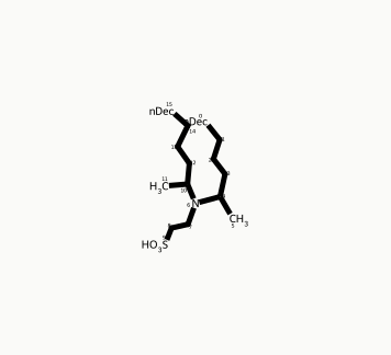 CCCCCCCCCCCCCC(C)N(CCS(=O)(=O)O)C(C)CCCCCCCCCCCCC